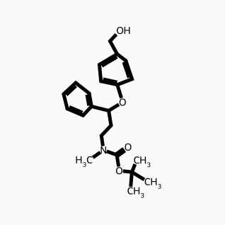 CN(CCC(Oc1ccc(CO)cc1)c1ccccc1)C(=O)OC(C)(C)C